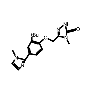 Cn1ccnc1-c1ccc(OCc2n[nH]c(=O)n2C)c(C(C)(C)C)c1